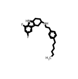 CCCCCCc1ccc(CCNC2CCc3[nH]c4c(F)cc(F)cc4c3C2)cc1